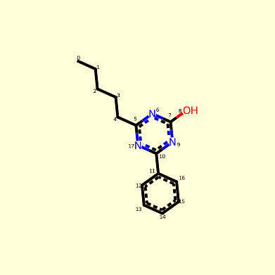 CCCCCc1nc(O)nc(-c2ccccc2)n1